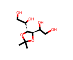 CC1(C)O[C@H](C(O)CO)[C@@H](C(O)CO)O1